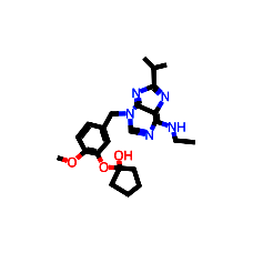 CCNc1ncn(Cc2ccc(OC)c(OC3(O)CCCC3)c2)c2nc(C(C)C)nc1-2